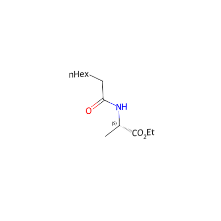 CCCCCCCC(=O)N[C@@H](C)C(=O)OCC